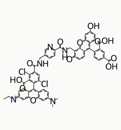 CC/N=c1\ccc2c(-c3c(Cl)cc(C(=O)NCc4ccc(C(=O)NCc5c6oc7cc(O)ccc7c(-c7ccc(C(=O)O)cc7C(=O)O)c-6ccc5=O)nc4)c(Cl)c3C(=O)O)c3ccc(N(C)C)cc3oc-2c1